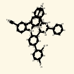 N#Cc1ccc2c(c1)c1cc(C#N)ccc1n2-c1ccc(-c2ccc(F)cc2F)cc1-c1nc(-c2ccccc2)nc(-c2ccccc2)n1